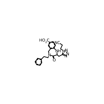 N#CCCn1nnnc1CC1Nc2ccc(C(=O)O)cc2CN(CCc2ccccc2)C1=O